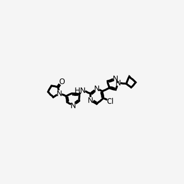 O=C1CCCN1c1cncc(Nc2ncc(Cl)c(-c3cnn(C4CCC4)c3)n2)c1